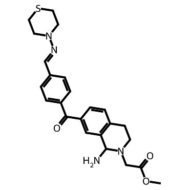 COC(=O)CN1CCc2ccc(C(=O)c3ccc(C=NN4CCSCC4)cc3)cc2C1N